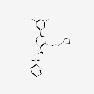 CC(C)COc1cc(F)cc(-c2ccc(C(=O)NS(=O)(=O)c3ccccn3)c(OCCC3CCC3)n2)c1